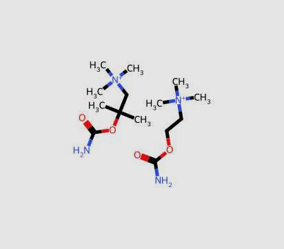 CC(C)(C[N+](C)(C)C)OC(N)=O.C[N+](C)(C)CCOC(N)=O